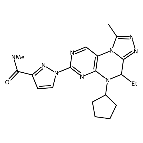 CCC1c2nnc(C)n2-c2cnc(-n3ccc(C(=O)NC)n3)nc2N1C1CCCC1